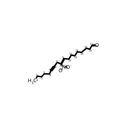 CCCCCC#CCC(=CCCCCCCCC=O)[N+](=O)[O-]